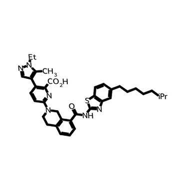 CCn1ncc(-c2ccc(N3CCc4cccc(C(=O)Nc5nc6cc(CCCCCC(C)C)ccc6s5)c4C3)nc2C(=O)O)c1C